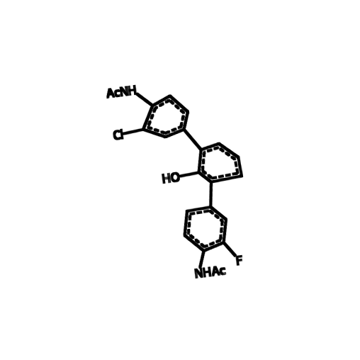 CC(=O)Nc1ccc(-c2cccc(-c3ccc(NC(C)=O)c(Cl)c3)c2O)cc1F